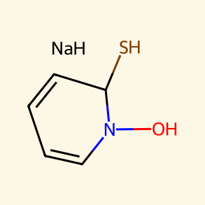 ON1C=CC=CC1S.[NaH]